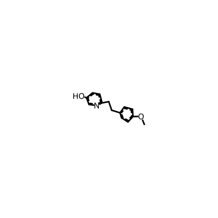 COc1ccc(CCc2ccc(O)cn2)cc1